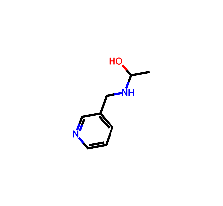 CC(O)NCc1cccnc1